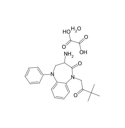 CC(C)(C)C(=O)CN1C(=O)C(N)CN(c2ccccc2)c2ccccc21.O.O=C(O)C(=O)O